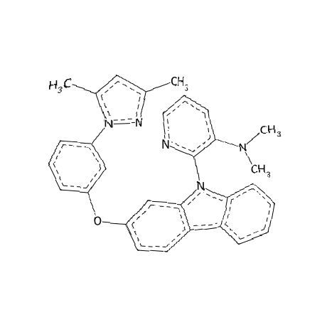 Cc1cc(C)n(-c2cccc(Oc3ccc4c5ccccc5n(-c5ncccc5N(C)C)c4c3)c2)n1